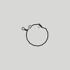 O=C1CCCCCCCCCC/C=C/CO1